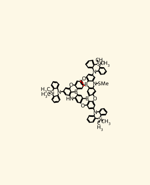 CSN1c2cc3c(cc2B2c4ccccc4Oc4cc(N5c6ccccc6[Si](C)(C)c6ccccc65)cc1c42)B1c2cc4c(cc2Oc2cc(N5c6ccccc6[Si](C)(C)c6ccccc65)cc(c21)O3)Nc1cc(N2c3ccccc3[Si](C)(C)c3ccccc32)cc2c1B4c1ccccc1O2